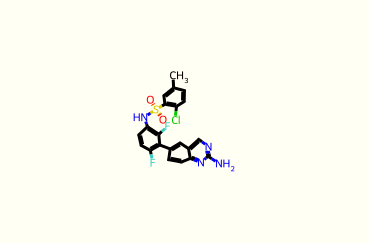 Cc1ccc(Cl)c(S(=O)(=O)Nc2ccc(F)c(-c3ccc4nc(N)ncc4c3)c2F)c1